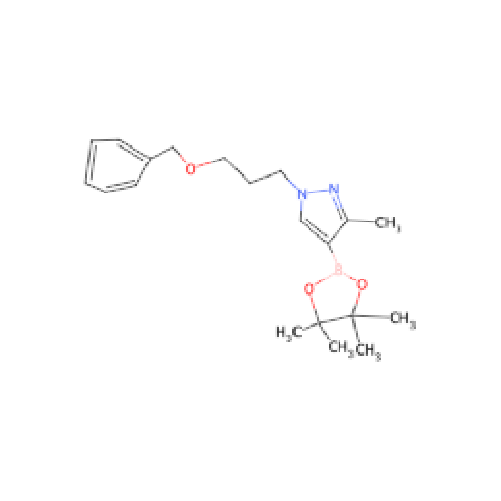 Cc1nn(CCCOCc2ccccc2)cc1B1OC(C)(C)C(C)(C)O1